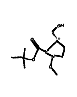 CON1CC[C@@H](CO)N1C(=O)OC(C)(C)C